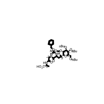 CCCCOC[C@H]1O[C@H](C(F)(F)CC(NC(=O)OCc2ccccc2)C(=O)N[C@@H](C)C(=O)N[C@@H](C)C(=O)O)[C@H](OCOC)[C@@H](OCCCC)[C@H]1OCCCC